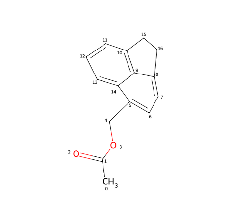 CC(=O)OCc1ccc2c3c(cccc13)CC2